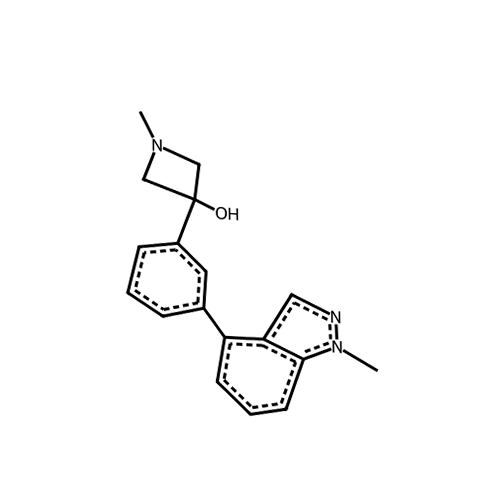 CN1CC(O)(c2cccc(-c3cccc4c3cnn4C)c2)C1